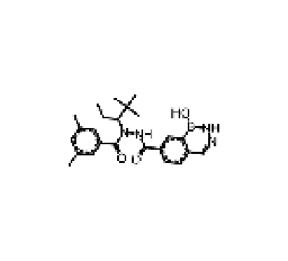 CCC(N(NC(=O)c1ccc2c(c1)B(O)NN=C2)C(=O)c1cc(C)cc(C)c1)C(C)(C)C